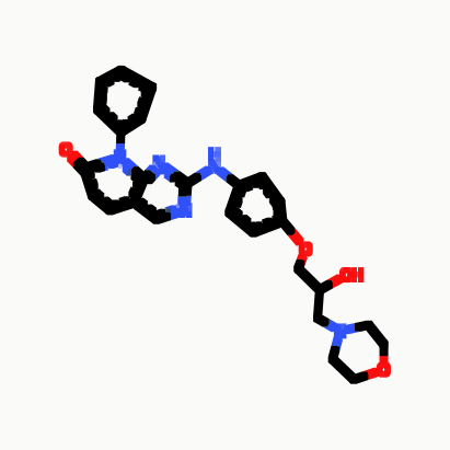 O=c1ccc2cnc(Nc3ccc(OCC(O)CN4CCOCC4)cc3)nc2n1-c1ccccc1